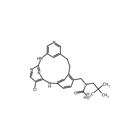 CC(C)(C)CN(Cc1ccc2cc1CCc1cncc(c1)Nc1ncc(Cl)c(n1)N2)C(=O)O